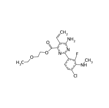 C=Cc1c(N)nc(-c2ccc(Cl)c(NC)c2F)nc1C(=O)OCCOCC